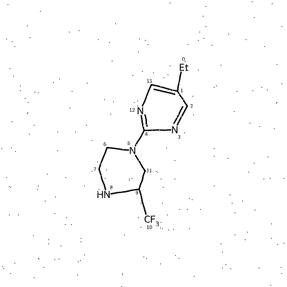 CCc1cnc(N2CCNC(C(F)(F)F)C2)nc1